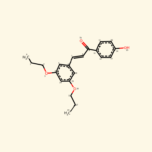 CCCOc1cc(C=CC(=O)c2ccc(O)cc2)cc(OCCC)c1